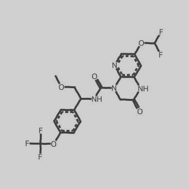 COCC(NC(=O)N1CC(=O)Nc2cc(OC(F)F)cnc21)c1ccc(OC(F)(F)F)cc1